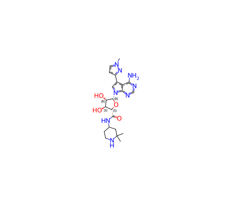 Cn1ccc(-c2cn([C@@H]3O[C@H](C(=O)NC4CCNC(C)(C)C4)[C@@H](O)[C@H]3O)c3ncnc(N)c23)n1